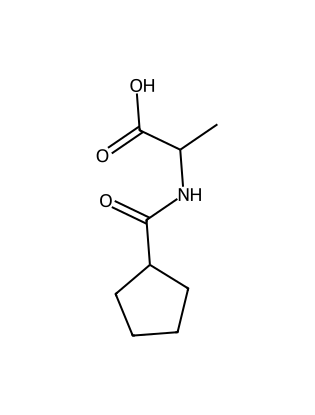 CC(NC(=O)C1CCCC1)C(=O)O